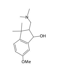 COc1ccc2c(c1)C(O)C(CN(C)C)C2(C)C